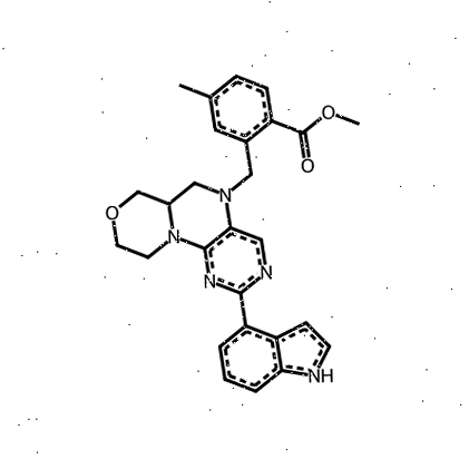 COC(=O)c1ccc(C)cc1CN1CC2COCCN2c2nc(-c3cccc4[nH]ccc34)ncc21